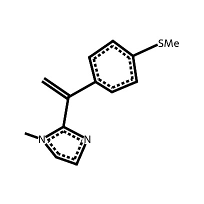 C=C(c1ccc(SC)cc1)c1nccn1C